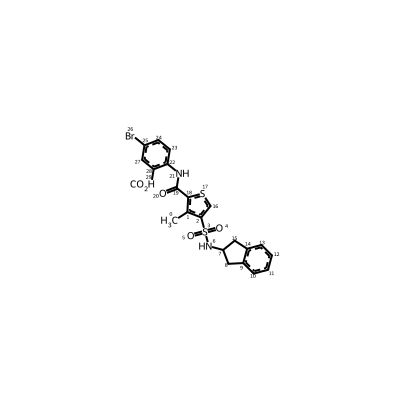 Cc1c(S(=O)(=O)NC2Cc3ccccc3C2)csc1C(=O)Nc1ccc(Br)cc1C(=O)O